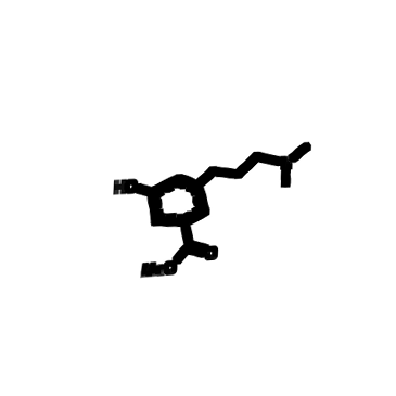 COC(=O)c1cc(O)cc(CCCN(C)C)c1